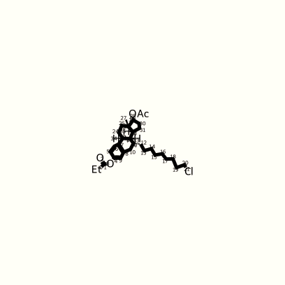 CCC(=O)Oc1ccc2c(c1)C[C@@H](CCCCCCCCCCl)[C@@H]1[C@@H]2CC[C@]2(C)[C@@H](OC(C)=O)CC[C@@H]12